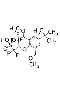 COCc1cc(C(C)(C)C)cc(COC)c1OC(C(F)(F)F)C(F)(F)S(=O)(=O)O